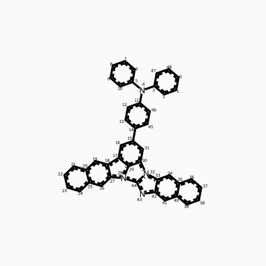 c1ccc(N(c2ccccc2)c2ccc(-c3cc4c5cc6ccccc6cc5n5c4c(c3)n3c4cc6ccccc6cc4nc35)cc2)cc1